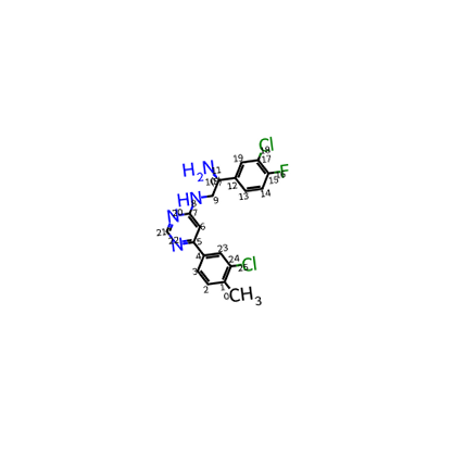 Cc1ccc(-c2cc(NC[C@@H](N)c3ccc(F)c(Cl)c3)ncn2)cc1Cl